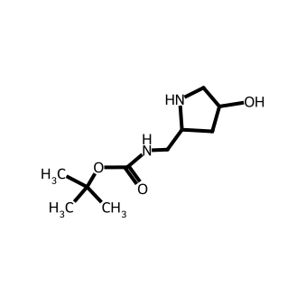 CC(C)(C)OC(=O)NCC1CC(O)CN1